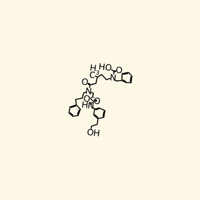 CC(CCN(Cc1ccccc1)C(=O)O)CC(=O)N(CCCc1ccccc1)CS(=O)(=O)Nc1cccc(CCO)c1